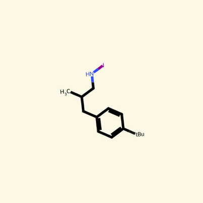 CC(CNI)Cc1ccc(C(C)(C)C)cc1